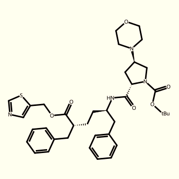 CC(C)(C)OC(=O)N1C[C@H](N2CCOCC2)C[C@H]1C(=O)N[C@H](CC[C@H](Cc1ccccc1)C(=O)OCc1cncs1)Cc1ccccc1